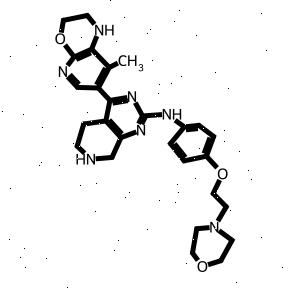 Cc1c(-c2nc(Nc3ccc(OCCN4CCOCC4)cc3)nc3c2CCNC3)cnc2c1NCCO2